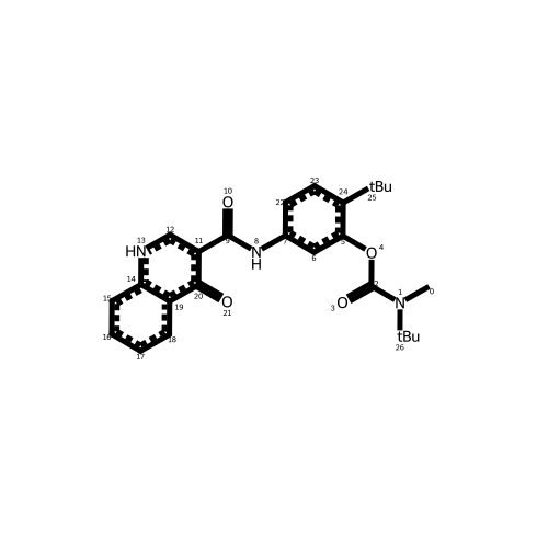 CN(C(=O)Oc1cc(NC(=O)c2c[nH]c3ccccc3c2=O)ccc1C(C)(C)C)C(C)(C)C